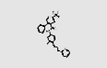 Cc1cc(NC(=O)c2cc(C(F)(F)F)ccc2-c2ccccc2)ccc1NCCc1ccccn1